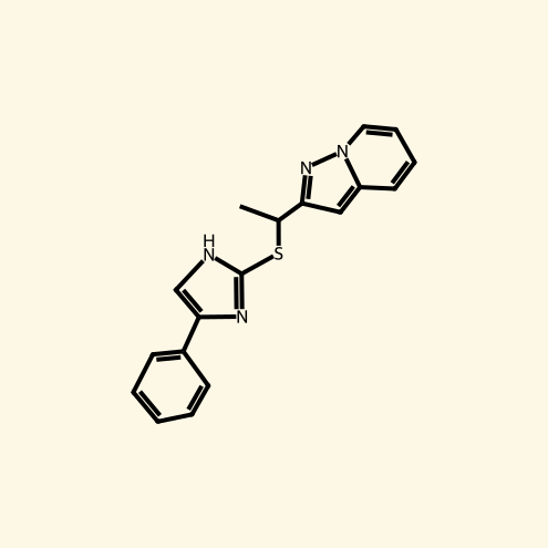 CC(Sc1nc(-c2ccccc2)c[nH]1)c1cc2ccccn2n1